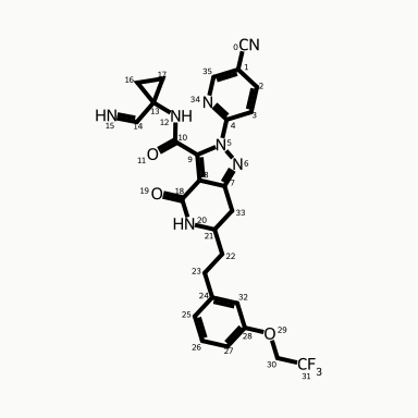 N#Cc1ccc(-n2nc3c(c2C(=O)NC2(C=N)CC2)C(=O)NC(CCc2cccc(OCC(F)(F)F)c2)C3)nc1